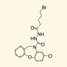 O=C(CCCCBr)NNC(=O)N1Cc2ccccc2Oc2ccc(Cl)cc21